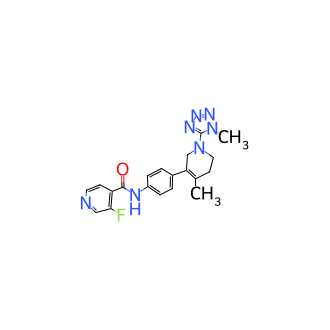 CC1=C(c2ccc(NC(=O)c3ccncc3F)cc2)CN(c2nnnn2C)CC1